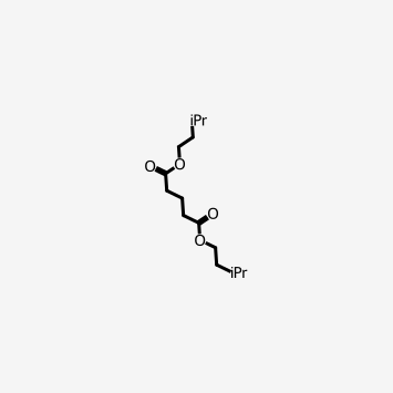 CC(C)CCOC(=O)CCCC(=O)OCCC(C)C